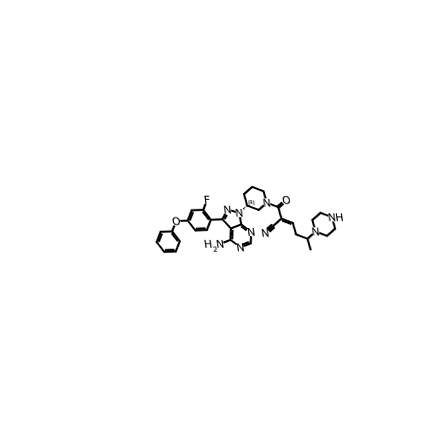 CC(CC=C(C#N)C(=O)N1CCC[C@@H](n2nc(-c3ccc(Oc4ccccc4)cc3F)c3c(N)ncnc32)C1)N1CCNCC1